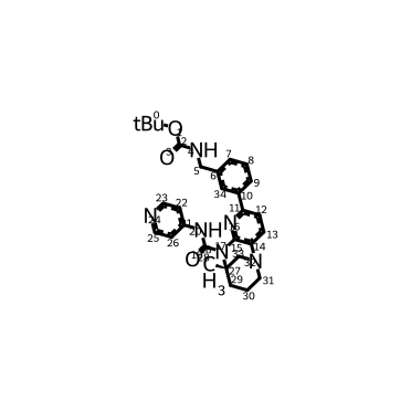 CC(C)(C)OC(=O)NCc1cccc(-c2ccc3c(n2)N(C(=O)Nc2ccncc2)[C@@]2(C)CCCN3C2)c1